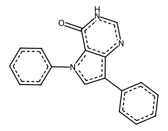 O=c1[nH]cnc2c(-c3ccccc3)cn(-c3ccccc3)c12